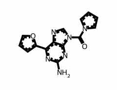 Nc1nc(-c2ccco2)c2ncn(C(=O)n3cccc3)c2n1